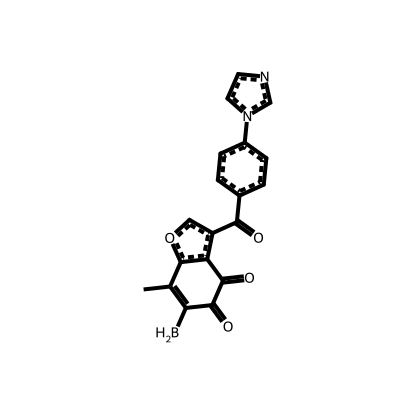 BC1=C(C)c2occ(C(=O)c3ccc(-n4ccnc4)cc3)c2C(=O)C1=O